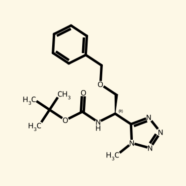 Cn1nnnc1[C@H](COCc1ccccc1)NC(=O)OC(C)(C)C